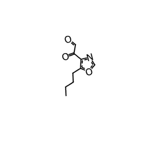 CCCCc1ocnc1C(=O)C=O